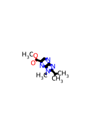 COC(=O)c1cnc2nc(C(C)C)n(C)c2n1